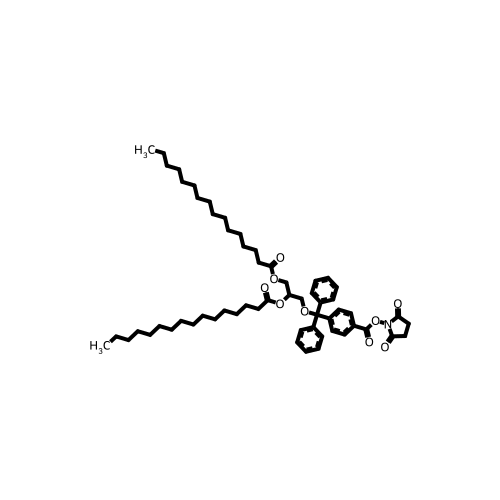 CCCCCCCCCCCCCCCC(=O)OCC(COC(c1ccccc1)(c1ccccc1)c1ccc(C(=O)ON2C(=O)CCC2=O)cc1)OC(=O)CCCCCCCCCCCCCCC